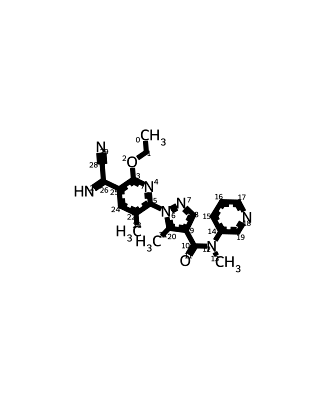 CCOc1nc(-n2ncc(C(=O)N(C)c3cccnc3)c2C)c(C)cc1C(=N)C#N